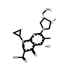 Cl.NC[C@H]1CN(c2nc3c(cc2F)c(=O)c(C(=O)O)cn3C2CC2)C[C@H]1F